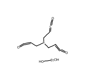 CCO.Cl.O=C=CCP(CC=C=O)CC=C=O